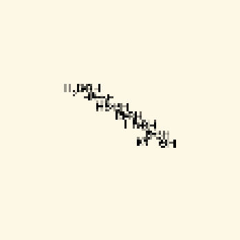 BBBBBBBBBBB(O)BO